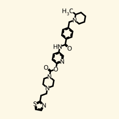 CC1CCCCN1Cc1ccc(C(=O)Nc2ccc(OC(=O)N3CCN(CCc4nccs4)CC3)nc2)cc1